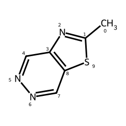 Cc1nc2cnncc2s1